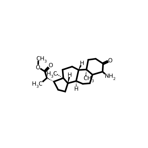 COC(=O)C(C)[C@H]1CC[C@H]2[C@@H]3CCC4C(N)C(=O)CC[C@]4(C)[C@H]3CC[C@]12C